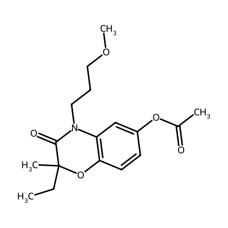 CCC1(C)Oc2ccc(OC(C)=O)cc2N(CCCOC)C1=O